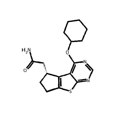 NC(=O)C[C@H]1CCc2sc3ncnc(OC4CCCCC4)c3c21